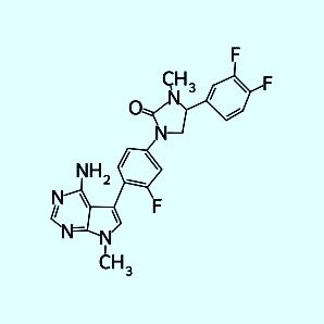 CN1C(=O)N(c2ccc(-c3cn(C)c4ncnc(N)c34)c(F)c2)CC1c1ccc(F)c(F)c1